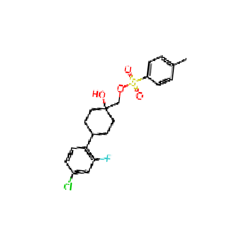 Cc1ccc(S(=O)(=O)OCC2(O)CCC(c3ccc(Cl)cc3F)CC2)cc1